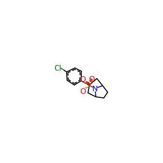 O=C1CC2CCC(C1)N2S(=O)(=O)c1ccc(Cl)cc1